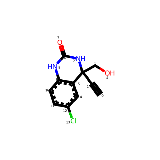 C#CC1(CO)NC(=O)Nc2ccc(Cl)cc21